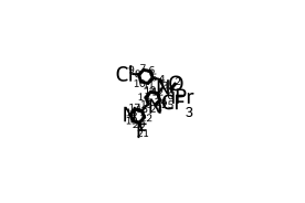 CC(C)C(=O)N(Cc1ccc(Cl)cc1)c1ccc(-c2cncc(F)c2)nc1C(F)(F)F